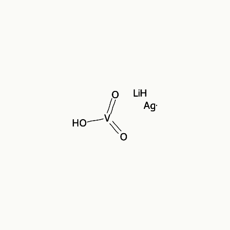 [Ag].[LiH].[O]=[V](=[O])[OH]